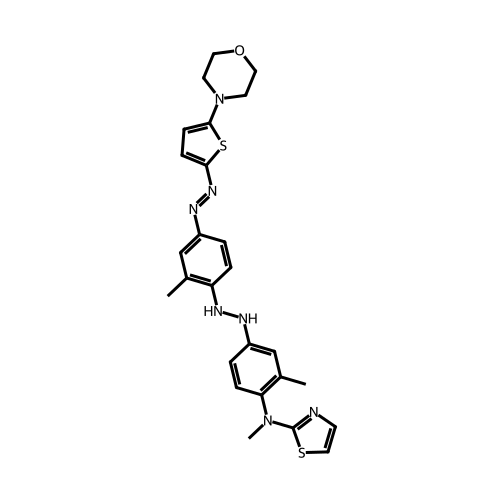 Cc1cc(/N=N/c2ccc(N3CCOCC3)s2)ccc1NNc1ccc(N(C)c2nccs2)c(C)c1